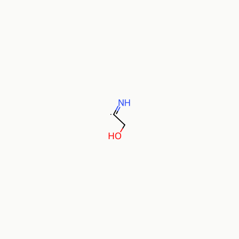 N=[C]CO